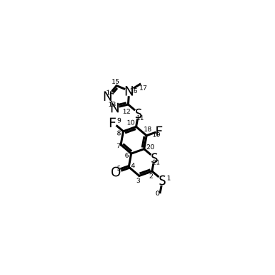 CSc1cc(=O)c2cc(F)c(Sc3nncn3C)c(F)c2s1